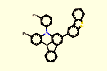 CC(C)c1cccc(N2c3cc(C(C)C)ccc3B3c4ccccc4-c4cc(-c5ccc6sc7ccccc7c6c5)cc2c43)c1